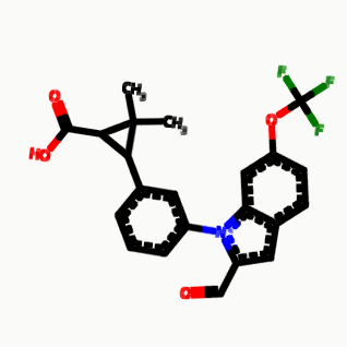 CC1(C)C(C(=O)O)C1c1cccc(-n2c(C=O)cc3ccc(OC(F)(F)F)cc32)c1